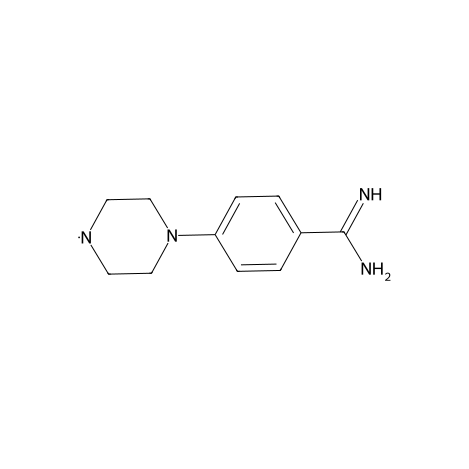 N=C(N)c1ccc(N2CC[N]CC2)cc1